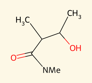 CNC(=O)C(C)C(C)O